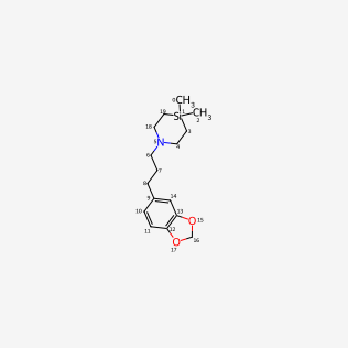 C[Si]1(C)CCN(CCCc2ccc3c(c2)OCO3)CC1